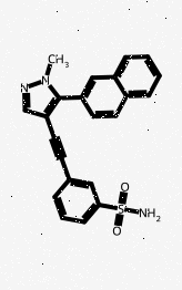 Cn1ncc(C#Cc2cccc(S(N)(=O)=O)c2)c1-c1ccc2ccccc2c1